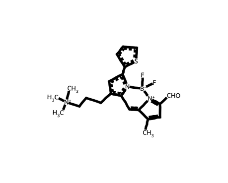 CC1=CC(C=O)=[N+]2C1=Cc1c(CCC[N+](C)(C)C)cc(-c3cccs3)n1[B-]2(F)F